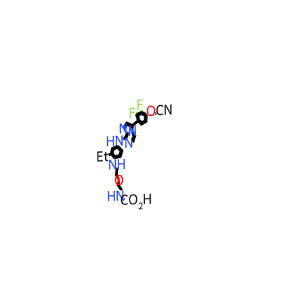 CCc1cc(Nc2nccn3c(-c4ccc(OCC#N)c(F)c4F)cnc23)ccc1NCCOCCNC(=O)O